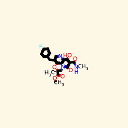 CNC(=O)c1c(O)c2ncc(Cc3ccc(F)cc3)c3c2n(c1=O)C[C@@](C)(C(=O)OC)O3